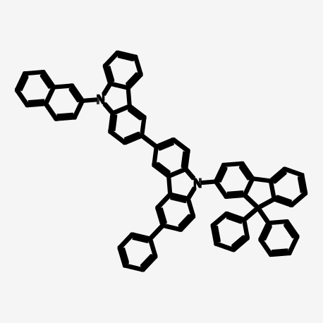 c1ccc(-c2ccc3c(c2)c2cc(-c4ccc5c(c4)c4ccccc4n5-c4ccc5ccccc5c4)ccc2n3-c2ccc3c(c2)C(c2ccccc2)(c2ccccc2)c2ccccc2-3)cc1